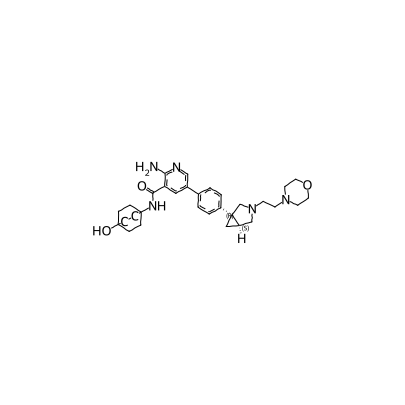 Nc1ncc(-c2ccc([C@@]34C[C@@H]3CN(CCN3CCOCC3)C4)cc2)cc1C(=O)NC12CCC(O)(CC1)CC2